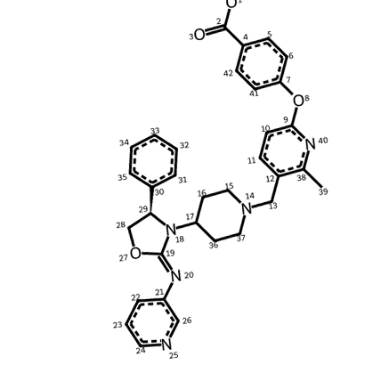 COC(=O)c1ccc(Oc2ccc(CN3CCC(N4C(=Nc5cccnc5)OC[C@H]4c4ccccc4)CC3)c(C)n2)cc1